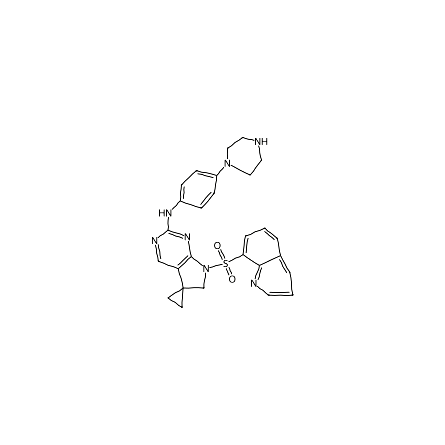 O=S(=O)(c1cccc2cccnc12)N1CC2(CC2)c2cnc(Nc3ccc(N4CCNCC4)cc3)nc21